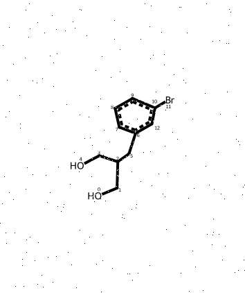 OCC(CO)Cc1cccc(Br)c1